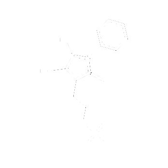 Cc1c(CCOS(C)(=O)=O)c(=O)n(-c2ccccc2)n1C